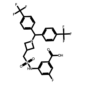 O=C(O)c1cc(F)cc(NS(=O)(=O)CC2CN(C(c3ccc(C(F)(F)F)cc3)c3ccc(C(F)(F)F)cc3)C2)c1